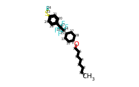 CCCCCCCCO[C@H]1CC[C@H](C(F)(F)C(F)(F)c2ccc(SF)cc2)CC1